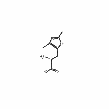 N[C@H](Cc1[nH]c(I)nc1I)C(=O)O